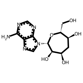 Nc1ncnc2c1ncn2[C@@H]1O[C@H](CO)[C@@H](O)C[C@@H](O)[C@H]1O